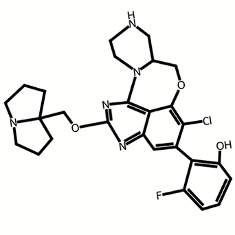 Oc1cccc(F)c1-c1cc2nc(OCC34CCCN3CCC4)nc3c2c(c1Cl)OCC1CNCCN31